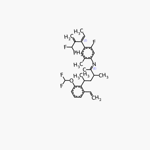 C=Cc1cccc(OC(F)F)c1C(C)CC(C)/C(C)=N/c1cc(F)c(/C(=C/C)C(=C)C(F)P)cc1C